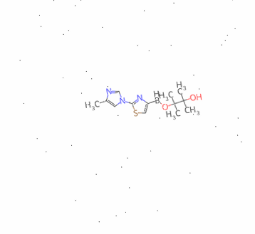 Cc1cn(-c2nc(BOC(C)(C)C(C)(C)O)cs2)cn1